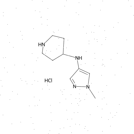 Cl.Cn1cc(NC2CCNCC2)cn1